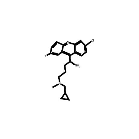 CN(CCCC(N)c1c2ccc(Cl)cc2nc2ccc(F)cc12)CC1CC1